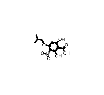 CC(C)COc1cc(O)c(C(=O)O)c(O)c1[N+](=O)[O-]